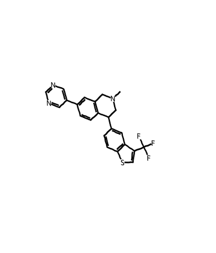 CN1Cc2cc(-c3cncnc3)ccc2C(c2ccc3scc(C(F)(F)F)c3c2)C1